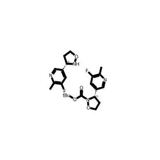 Cc1ncc([C@@H]2CCON2)cc1F.Cc1ncc([C@@H]2CCON2C(=O)OC(C)(C)C)cc1F